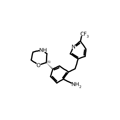 Nc1ccc([C@H]2CNCCO2)cc1Cc1ccc(C(F)(F)F)nc1